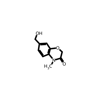 CN1C(=O)COc2cc(CO)ccc21